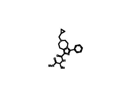 CNC(=O)[C@@H](NC(=O)c1nc(-c2ccccc2)n2c1CCN(CC1CC1)CC2)C(C)(C)C